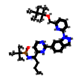 CCC/C(=N/[S+]([O-])C(C)(C)C)c1ccnc(-c2ccc3cnn(-c4cccc(CO[Si](C)(C)C(C)(C)C)n4)c3c2)n1